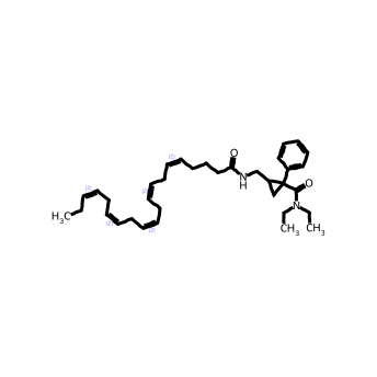 CC/C=C\C/C=C\C/C=C\C/C=C\C/C=C\CCCC(=O)NCC1CC1(C(=O)N(CC)CC)c1ccccc1